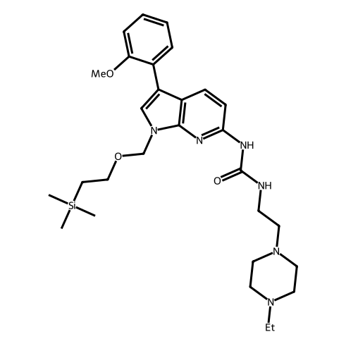 CCN1CCN(CCNC(=O)Nc2ccc3c(-c4ccccc4OC)cn(COCC[Si](C)(C)C)c3n2)CC1